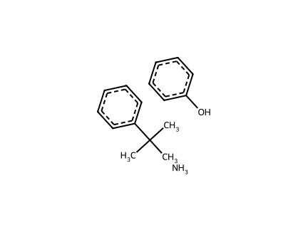 CC(C)(C)c1ccccc1.N.Oc1ccccc1